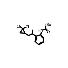 CC(CC1CC1(Cl)Cl)c1ccccc1NC(=O)C(C)(C)C